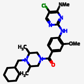 CNc1nc(Nc2ccc(C(=O)N3CC(C)N(CC4CCCCC4)C(C)C3)cc2OC)ncc1Cl